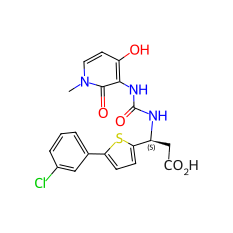 Cn1ccc(O)c(NC(=O)N[C@@H](CC(=O)O)c2ccc(-c3cccc(Cl)c3)s2)c1=O